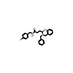 C[C@H](CCC(=O)NCc1ccc(F)cc1)N(Cc1ccccc1)Cc1ccccc1